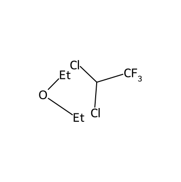 CCOCC.FC(F)(F)C(Cl)Cl